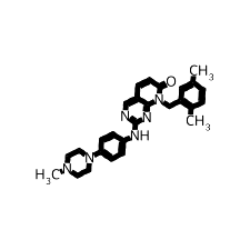 Cc1ccc(C)c(Cn2c(=O)ccc3cnc(Nc4ccc(N5CCN(C)CC5)cc4)nc32)c1